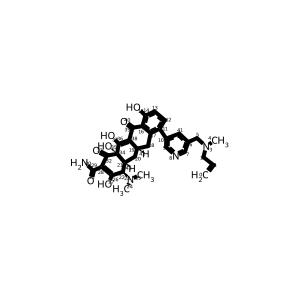 C=CCN(C)Cc1cncc(-c2ccc(O)c3c2C[C@H]2C[C@H]4[C@@H](N(C)C)C(O)=C(C(N)=O)C(=O)[C@@]4(O)C(O)=C2C3=O)c1